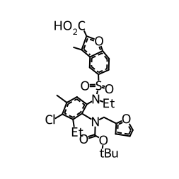 CCc1c(Cl)c(C)cc(N(CC)S(=O)(=O)c2ccc3oc(C(=O)O)c(C)c3c2)c1N(Cc1ccco1)C(=O)OC(C)(C)C